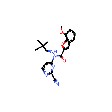 COc1cccc2cc(C(=O)N(NCC(C)(C)C)c3ccnc(C#N)n3)oc12